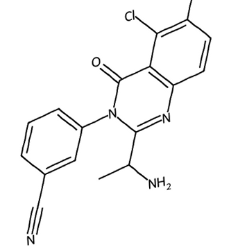 CC(N)c1nc2ccc(F)c(Cl)c2c(=O)n1-c1cccc(C#N)c1